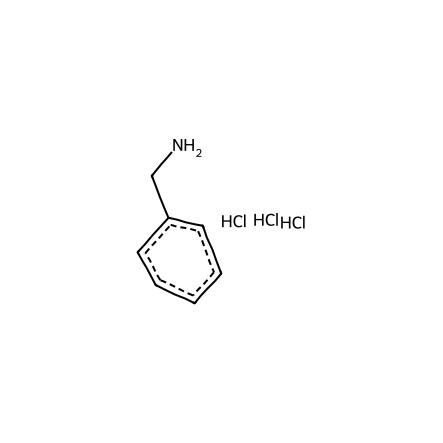 Cl.Cl.Cl.NCc1ccccc1